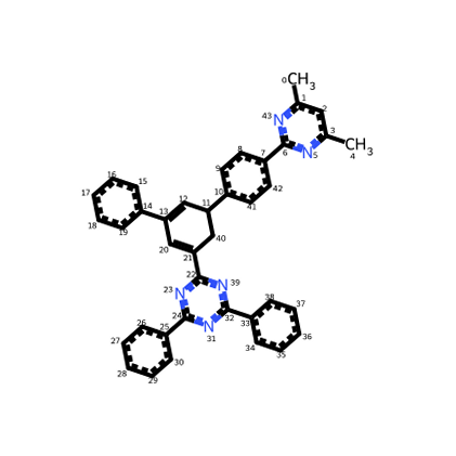 Cc1cc(C)nc(-c2ccc(C3C=C(c4ccccc4)C=C(c4nc(-c5ccccc5)nc(-c5ccccc5)n4)C3)cc2)n1